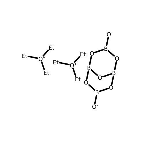 CC[O+](CC)CC.CC[O+](CC)CC.[O-]B1OB2OB([O-])OB(O1)O2